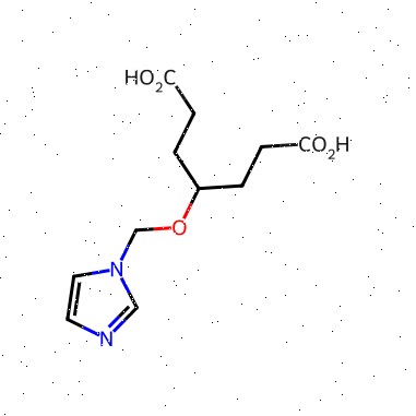 O=C(O)CCC(CCC(=O)O)OCn1ccnc1